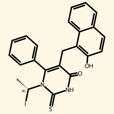 C[C@@H](I)n1c(-c2ccccc2)c(Cc2c(O)ccc3ccccc23)c(=O)[nH]c1=S